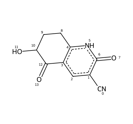 N#Cc1cc2c([nH]c1=O)CCC(O)C2=O